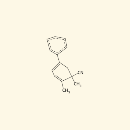 CC1=CC=C(c2ccccc2)CC1(C)C#N